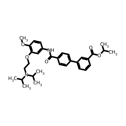 COc1ccc(NC(=O)c2ccc(-c3cccc(C(=O)OC(C)C)c3)cc2)cc1OCCN(C(C)C)C(C)C